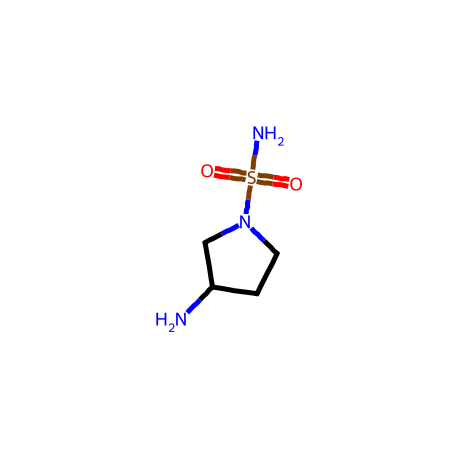 NC1CCN(S(N)(=O)=O)C1